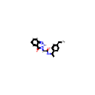 CC(C)Cc1ccc(C(C)NC(=O)Cn2nnc3ccccc3c2=O)cc1